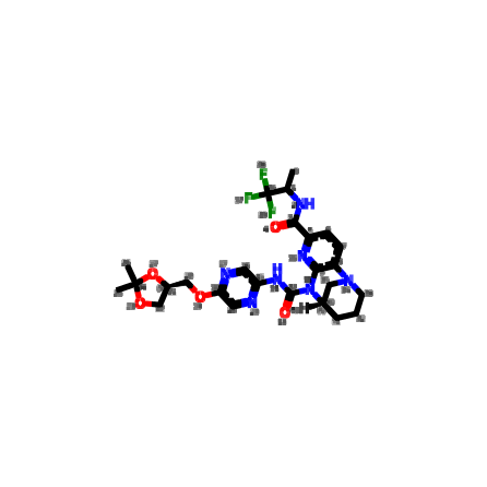 CC(NC(=O)c1ccc2c(n1)N(C(=O)Nc1cnc(OC[C@H]3COC(C)(C)O3)cn1)[C@H]1CCCN2C1)C(F)(F)F